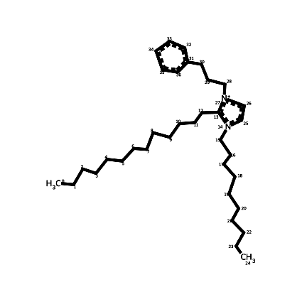 CCCCCCCCCCCCCc1n(CCCCCCCCCC)cc[n+]1CCCc1ccccc1